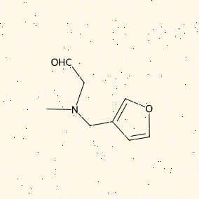 CN(CC=O)Cc1ccoc1